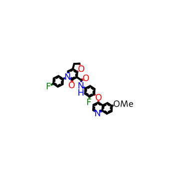 COc1ccc2nccc(Oc3ccc(NC(=O)c4c5c(cn(-c6ccc(F)cc6)c4=O)CCO5)cc3F)c2c1